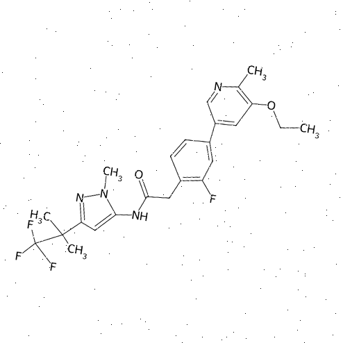 CCOc1cc(-c2ccc(CC(=O)Nc3cc(C(C)(C)C(F)(F)F)nn3C)c(F)c2)cnc1C